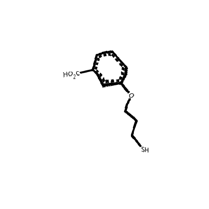 O=C(O)c1cccc(OCCCS)c1